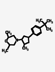 CC1CN(C2CC(c3ccc(C(C)(C)C)cc3)CC2C)CC(C)O1